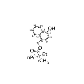 CCCC(C)(CC)C(=O)OCc1ccc(O)c2ccccc12